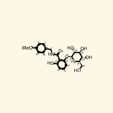 COc1ccc(CNC(=O)c2c(O)cccc2O[C@@H]2S[C@H](CO)[C@@H](O)[C@H](O)[C@H]2O)cc1